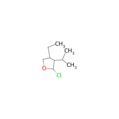 CCC1COC(Cl)C1C(C)C